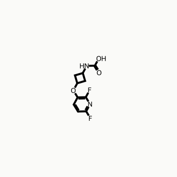 O=C(O)NC1CC(Oc2ccc(F)nc2F)C1